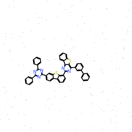 c1ccc(-c2cccc(-c3nc(-c4cccc5c4sc4cc(-c6nc(-c7ccccc7)nc(-c7ccccc7)n6)ccc45)nc4c3sc3ccccc34)c2)cc1